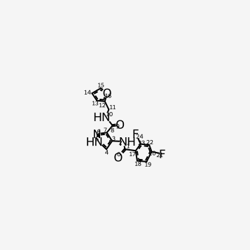 O=C(Nc1c[nH]nc1C(=O)NCc1ccco1)c1ccc(F)cc1F